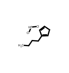 CCCCC1=C[CH]C=C1.[Cl][Hf][Cl]